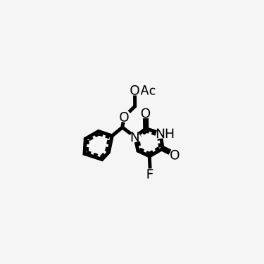 CC(=O)OCOC(c1ccccc1)n1cc(F)c(=O)[nH]c1=O